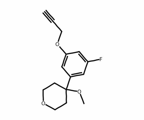 C#CCOc1cc(F)cc(C2(OC)CCOCC2)c1